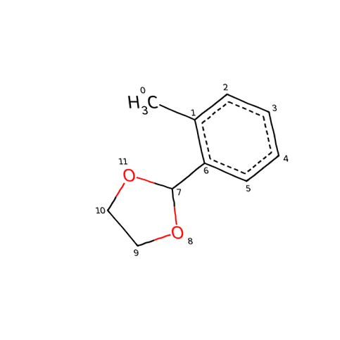 Cc1ccccc1C1OCCO1